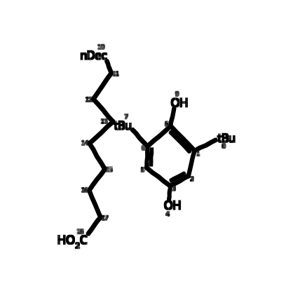 CC(C)(C)c1cc(O)cc(C(C)(C)C)c1O.CCCCCCCCCCCCCCCCCC(=O)O